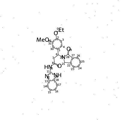 CCOc1ccc(C(CC(=O)Nc2nc3ccccc3[nH]2)N2Cc3ccccc3C2=O)cc1OC